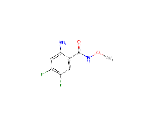 CONC(=O)c1cc(F)c(F)cc1N